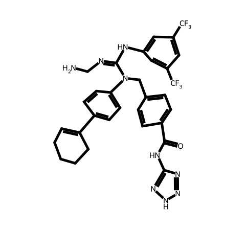 NC/N=C(/Nc1cc(C(F)(F)F)cc(C(F)(F)F)c1)N(Cc1ccc(C(=O)Nc2nn[nH]n2)cc1)c1ccc(C2=CCCCC2)cc1